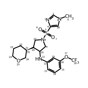 Cn1cnc(S(=O)(=O)N2CC(Nc3cccc(OC(F)(F)F)c3)C([C@@H]3CCCOC3)C2)c1